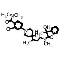 CC(CCN(C)C(=O)[C@](C)(O)c1ccccc1)C1(C)CCN(c2ccc(C(=O)N(C)C)c(Cl)c2)CC1